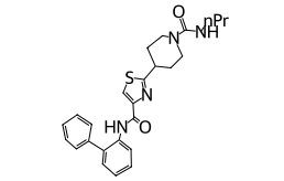 CCCNC(=O)N1CCC(c2nc(C(=O)Nc3ccccc3-c3ccccc3)cs2)CC1